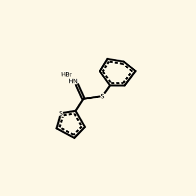 Br.N=C(Sc1ccccc1)c1cccs1